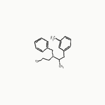 CC(Cc1cccc(C(F)(F)F)c1)N(CCCl)Cc1ccccc1